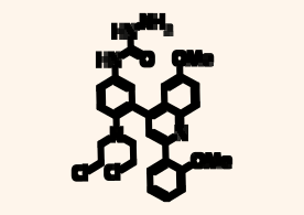 COc1ccc2nc(-c3ccccc3OC)cc(-c3cc(NC(=O)NN)ccc3N(CCCl)CCCl)c2c1